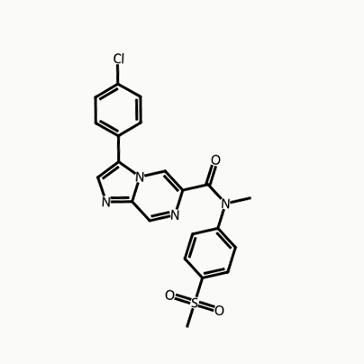 CN(C(=O)c1cn2c(-c3ccc(Cl)cc3)cnc2cn1)c1ccc(S(C)(=O)=O)cc1